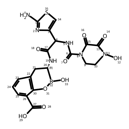 Nc1nc(C(NC(=O)N2CCN(O)C(=O)C2=O)C(=O)N[C@H]2Cc3cccc(C(=O)O)c3OB2O)cs1